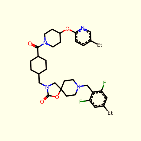 CCc1ccc(OC2CCN(C(=O)C3CCC(CN4CC5(CCN(Cc6c(F)cc(CC)cc6F)CC5)OC4=O)CC3)CC2)nc1